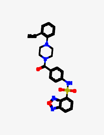 COc1ccccc1N1CCN(C(=O)c2ccc(NS(=O)(=O)c3cccc4nonc34)cc2)CC1